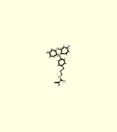 C=C(C)C(=O)OCCCc1ccc(N2c3ccc(C)cc3Oc3cc(C)ccc32)cc1